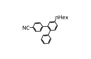 CCCCCCc1ccc(-c2ccccc2)c(-c2ccc(C#N)cc2)c1